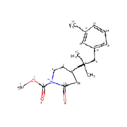 CC(C)(C)OC(=O)N1CC[C@@H](C(C)(C)Cc2cccc(C(F)(F)F)c2)CC1=O